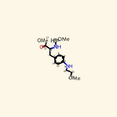 COBNC(Cc1ccc(NCCOC)cc1)C(=O)OC